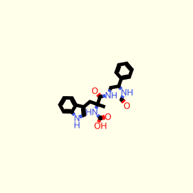 CC(Cc1c[nH]c2ccccc12)(NC(=O)O)C(=O)NCC(NC=O)c1ccccc1